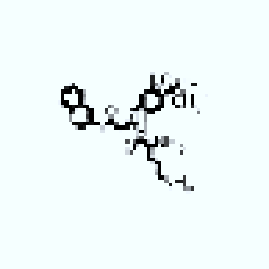 CC(C)(C)c1ccc(C[C@@H](CC(=O)Nc2cnc3ccccc3c2)NC(=O)[C@@H](N)CCCN)cc1